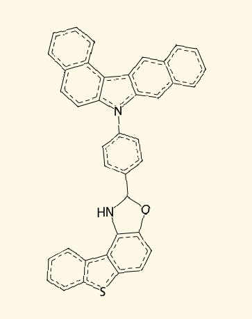 c1ccc2cc3c(cc2c1)c1c2ccccc2ccc1n3-c1ccc(C2Nc3c(ccc4sc5ccccc5c34)O2)cc1